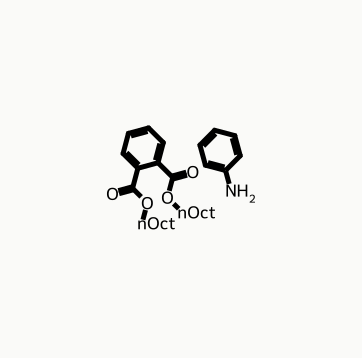 CCCCCCCCOC(=O)c1ccccc1C(=O)OCCCCCCCC.Nc1ccccc1